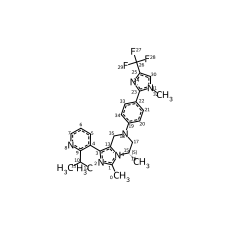 Cc1nc(-c2cccnc2C(C)C)c2n1[C@@H](C)CN(c1ccc(-c3nc(C(F)(F)F)cn3C)cc1)C2